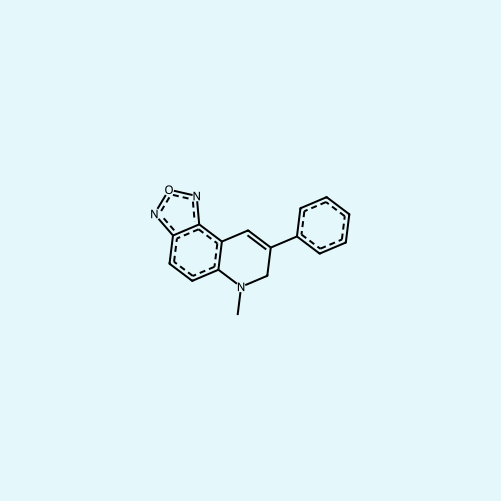 CN1CC(c2ccccc2)=Cc2c1ccc1nonc21